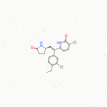 CCc1ccc(/C(=C\[C@H]2CCC(=O)N2)c2ccc(Cl)c(=O)[nH]2)cc1Cl